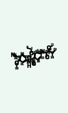 CCOc1cc(NC(=O)[C@@H](OC)C(C)C)ccc1S(=O)(=O)Nc1ccc(C#N)c(OC)c1